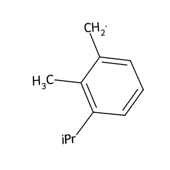 [CH2]c1cccc(C(C)C)c1C